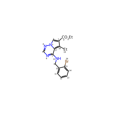 CCOC(=O)c1cn2ncnc(NCc3ccccc3Br)c2c1CC